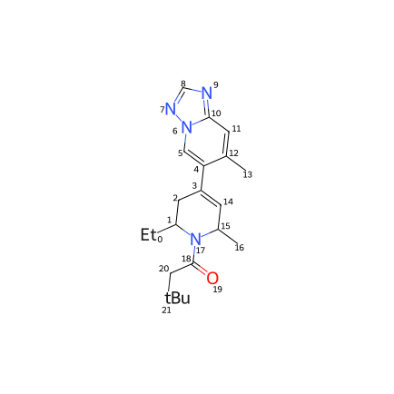 CCC1CC(c2cn3ncnc3cc2C)=CC(C)N1C(=O)CC(C)(C)C